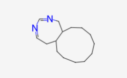 C1=N\C=N/CC2CCCCCCCCCC2C/1